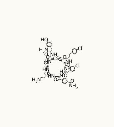 C=C(c1ccc(C(N)=O)cc1)[C@H]1NC(=O)[C@H](Cc2ccc(Cl)cc2)NC(=O)[C@H](NC(=O)CCc2ccc(Cl)cc2)CSSC[C@@H](C(=O)NC(Cc2ccc(O)cc2)C(N)=O)NC(=O)[C@H](C)NC(=O)[C@H](CCCCN)NC1=O